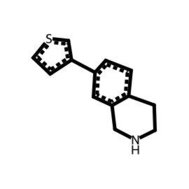 c1cc(-c2ccc3c(c2)CNCC3)cs1